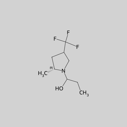 CCC(O)N1CC(C(F)(F)F)C[C@H]1C